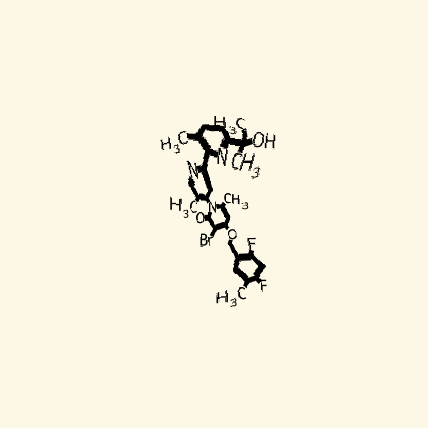 Cc1cc(COc2cc(C)n(-c3cc(-c4nc(C(C)(C)O)ccc4C)ncc3C)c(=O)c2Br)c(F)cc1F